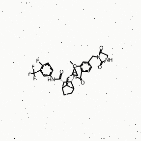 COc1cc(CN2C(=O)CNC2=O)ccc1C(=O)N[C@@H]1C2CCC(/C2=C/C2CC2)[C@@H]1C(=O)Nc1ccc(F)c(C(F)(F)F)c1